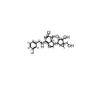 OC[C@@]12CC1[C@@H](n1cnc3c(NCc4cccc(I)c4)nc(Cl)nc31)[C@H](O)[C@@H]2O